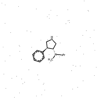 CCCN(C)[C@H]1CNC[C@@H]1c1ccccc1